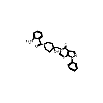 Nc1ccccc1C(=O)N1CCC(O)(Cn2cnc3c(cnn3-c3ccccc3)c2=O)CC1